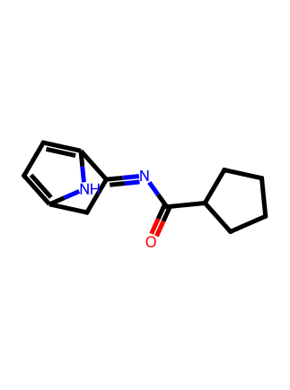 O=C(N=C1Cc2ccc1[nH]2)C1CCCC1